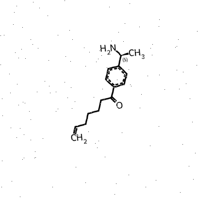 C=CCCCCC(=O)c1ccc([C@H](C)N)cc1